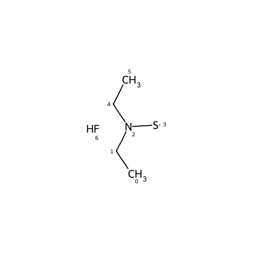 CCN([S])CC.F